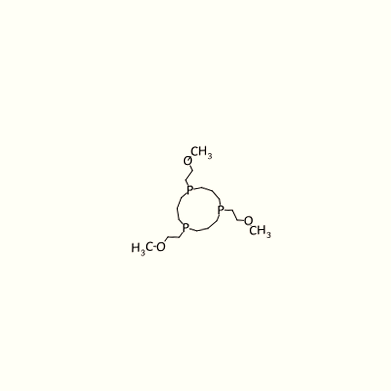 COCCP1CCCP(CCOC)CCCP(CCOC)CCC1